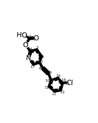 O=C(O)Oc1ccc(C#Cc2cccc(Cl)c2)cn1